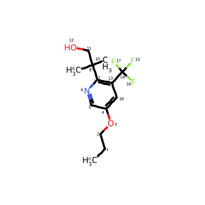 CCCOc1cnc(C(C)(C)CO)c(C(F)(F)F)c1